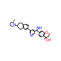 C[C@@H]1CCCN1C1CCc2ccc(-c3cncc(C(=N)c4ccc5c(c4)OCCC5(C)O)c3)cc2CC1